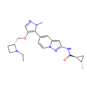 CCN1CC[C@@H]1COc1cnn(C)c1-c1ccn2nc(NC(=O)[C@H]3C[C@@H]3C)cc2c1